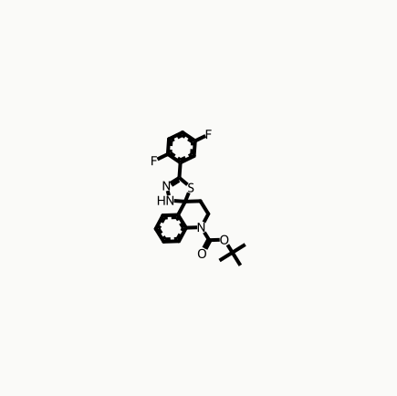 CC(C)(C)OC(=O)N1CCC2(NN=C(c3cc(F)ccc3F)S2)c2ccccc21